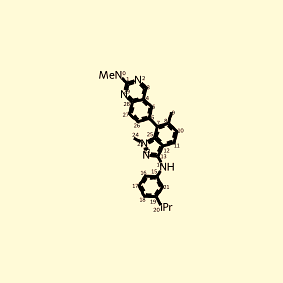 CNc1ncc2cc(-c3c(C)ccc4c(Nc5cccc(C(C)C)c5)nn(C)c34)ccc2n1